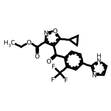 CCOC(=O)c1noc(C2CC2)c1C(=O)c1ccc(-c2ncc[nH]2)cc1C(F)(F)F